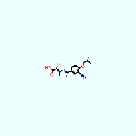 CC(/N=C(\C)c1ccc(OCC(C)C)c(C#N)c1)=C(/S)C(=O)O